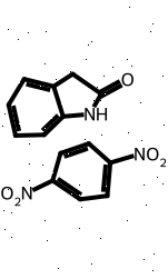 O=C1Cc2ccccc2N1.O=[N+]([O-])c1ccc([N+](=O)[O-])cc1